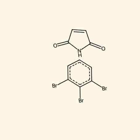 Brc1cccc(Br)c1Br.O=C1C=CC(=O)N1